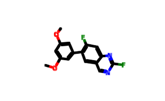 COc1cc(OC)cc(-c2cc3cnc(F)nc3cc2F)c1